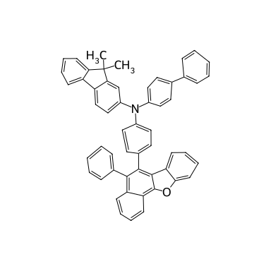 CC1(C)c2ccccc2-c2ccc(N(c3ccc(-c4ccccc4)cc3)c3ccc(-c4c(-c5ccccc5)c5ccccc5c5oc6ccccc6c45)cc3)cc21